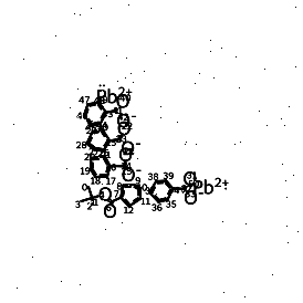 CC(C)(C)OC(=O)c1ccccc1.O=C([O-])c1ccccc1.O=C([O-])c1ccccc1.O=C([O-])c1ccccc1.O=C([O-])c1ccccc1.[Pb+2].[Pb+2]